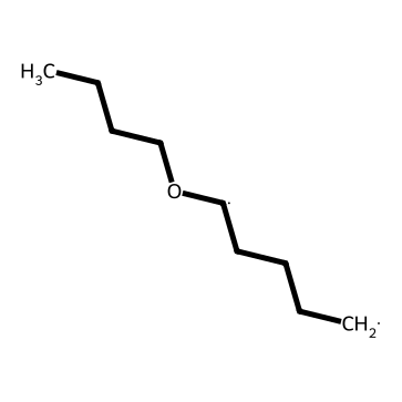 [CH2]CCC[CH]OCCCC